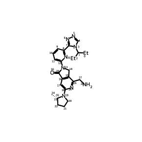 CCC(CC)n1cnnc1-c1cccc(N2Cc3c(cc(N4CCC[C@@H]4C)nc3CN)C2=O)n1